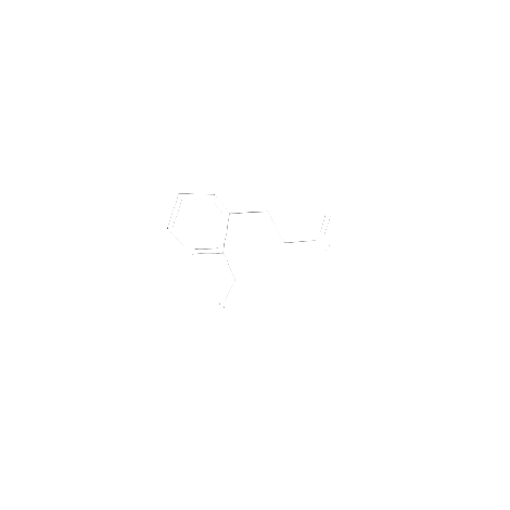 NCc1ccccc1CC[SH](=O)=O